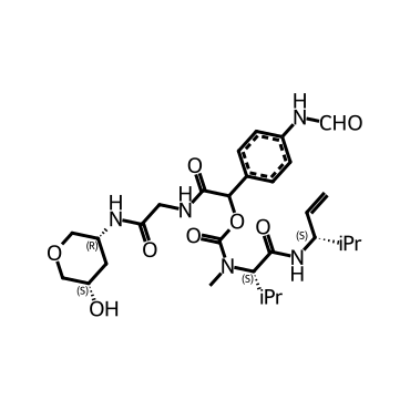 C=C[C@@H](NC(=O)[C@H](C(C)C)N(C)C(=O)OC(C(=O)NCC(=O)N[C@H]1COC[C@@H](O)C1)c1ccc(NC=O)cc1)C(C)C